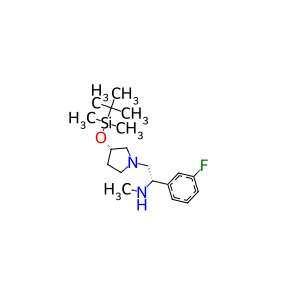 CN[C@H](CN1CC[C@H](O[Si](C)(C)C(C)(C)C)C1)c1cccc(F)c1